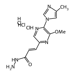 COc1nc(/C=C/C(=O)NN)cnc1-n1cnc(C)c1.Cl.Cl.Cl